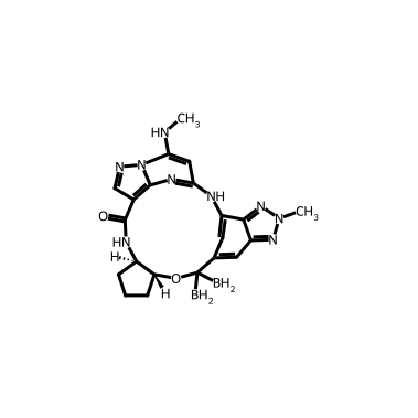 BC1(B)O[C@@H]2CCC[C@H]2NC(=O)c2cnn3c(NC)cc(nc23)Nc2cc1cc1nn(C)nc21